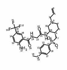 C=CCN1CC[C@@H](CS(=O)(=O)c2ccc(SC)cc2)[C@@H](NC(=O)CNC(=O)c2cc(C(F)(F)F)ccc2N)C1